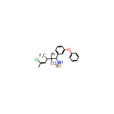 CC(Cl)=CC(C(F)(F)F)C(C(=O)O)(C(C)C)C(NS)c1cccc(Oc2ccccc2)c1